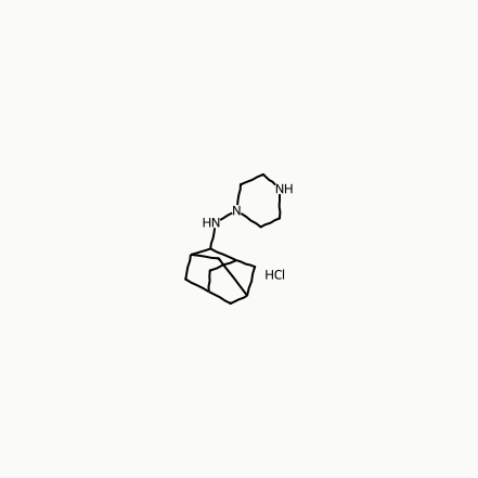 C1CN(NC2C3CC4CC(C3)CC2C4)CCN1.Cl